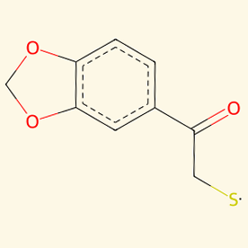 O=C(C[S])c1ccc2c(c1)OCO2